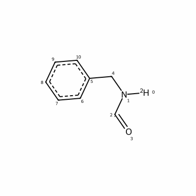 [2H]N([C]=O)Cc1ccccc1